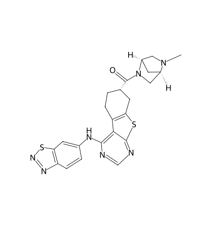 CN1C[C@H]2C[C@@H]1CN2C(=O)[C@H]1CCc2c(sc3ncnc(Nc4ccc5nnsc5c4)c23)C1